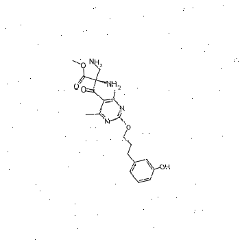 COC(=O)[C@](N)(CN)C(=O)c1c(C)nc(OCCCc2cccc(O)c2)nc1C